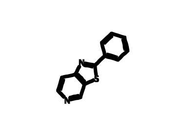 c1ccc(-c2nc3ccncc3s2)cc1